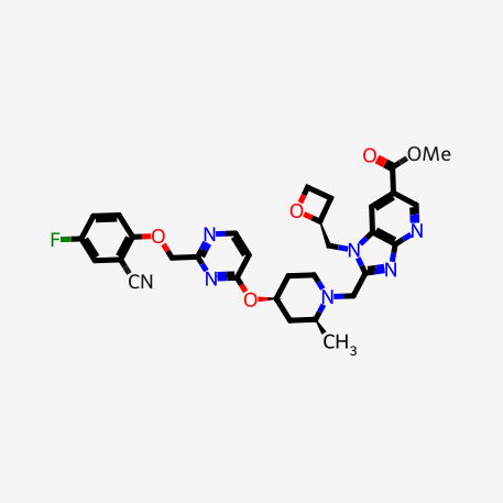 COC(=O)c1cnc2nc(CN3CC[C@H](Oc4ccnc(COc5ccc(F)cc5C#N)n4)C[C@@H]3C)n(C[C@@H]3CCO3)c2c1